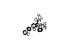 NC(=O)C1NN(c2ccccc2OC(F)F)C2=C1CCN(c1ccc(N3CCCCC3=O)cc1)C2=O